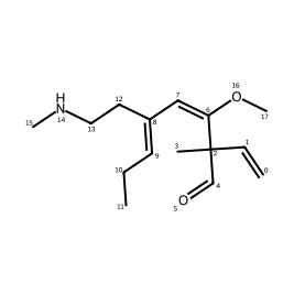 C=CC(C)(C=O)/C(=C\C(=CCC)CCNC)OC